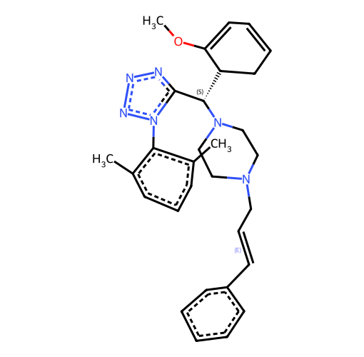 COC1=CC=CCC1[C@@H](c1nnnn1-c1c(C)cccc1C)N1CCN(C/C=C/c2ccccc2)CC1